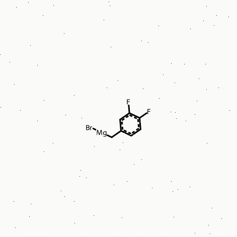 Fc1ccc([CH2][Mg][Br])cc1F